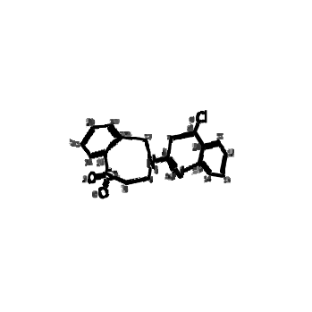 O=S1(=O)CCN(c2cc(Cl)c3ccccc3n2)Cc2ccccc21